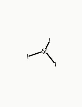 [I][Sr]([I])[I]